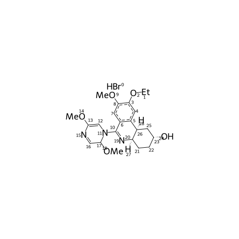 Br.CCOc1cc2c(cc1OC)C(N1C=C(OC)N=CC1OC)=N[C@@H]1CC[C@@H](O)C[C@H]21